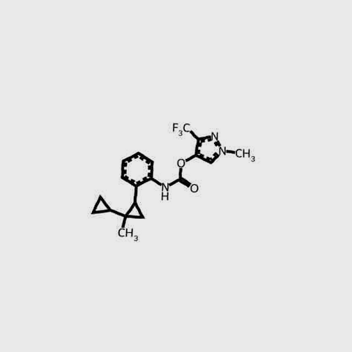 Cn1cc(OC(=O)Nc2ccccc2C2CC2(C)C2CC2)c(C(F)(F)F)n1